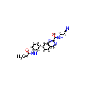 C=CC(=O)Nc1cccc(-c2ccc3cnc(C(=O)NCCC#N)nc3c2)c1